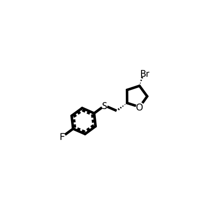 Fc1ccc(SC[C@@H]2C[C@H](Br)CO2)cc1